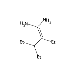 CCC(=C(N)N)C(CC)CC